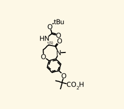 CN1C(=O)[C@@H](NC(=O)OC(C)(C)C)COc2ccc(OC(C)(C)C(=O)O)cc21